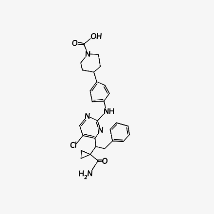 NC(=O)C1(C(Cc2ccccc2)c2nc(Nc3ccc(C4CCN(C(=O)O)CC4)cc3)ncc2Cl)CC1